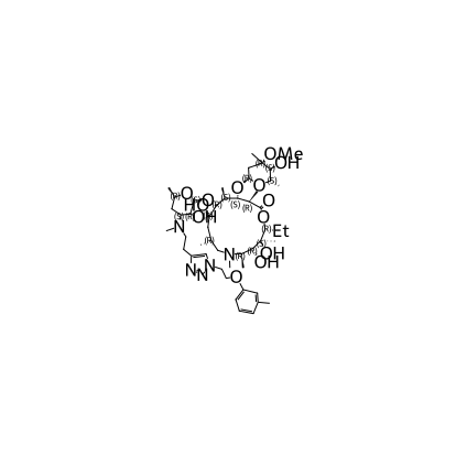 CC[C@H]1OC(=O)[C@H](C)[C@@H](O[C@H]2C[C@@](C)(OC)[C@@H](O)[C@H](C)O2)[C@H](C)[C@@H](O[C@@H]2O[C@H](C)C[C@H](N(C)CCc3cn(CCOc4cccc(C)c4)nn3)[C@H]2O)[C@](C)(O)C[C@@H](C)CN(C)[C@H](C)[C@@H](O)[C@]1(C)O